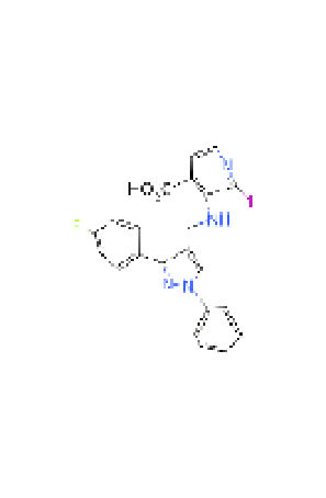 O=C(O)c1ccnc(I)c1NCc1cn(-c2ccccc2)nc1-c1ccc(F)cc1